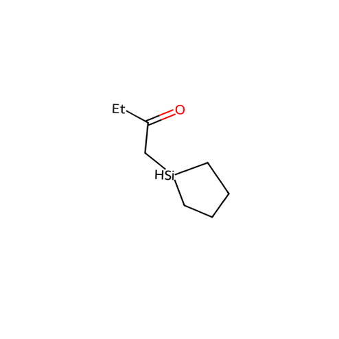 CCC(=O)C[SiH]1CCCC1